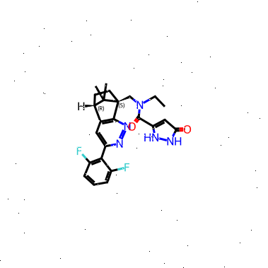 CCN(C[C@@]12CC[C@@H](c3cc(-c4c(F)cccc4F)nnc31)C2(C)C)C(=O)c1cc(=O)[nH][nH]1